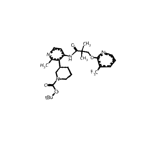 Cc1nccc(NC(=O)C(C)(C)COc2ncccc2C(F)(F)F)c1C1CCCN(C(=O)OC(C)(C)C)C1